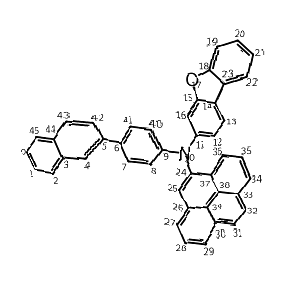 c1ccc2cc(-c3ccc(N(c4ccc5c(c4)oc4ccccc45)c4cc5cccc6ccc7cccc4c7c65)cc3)ccc2c1